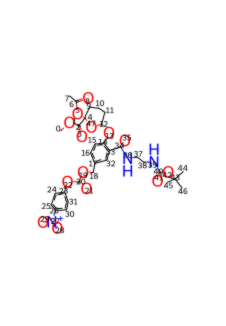 COC(=O)C1(OC(C)=O)CCCC(Oc2ccc(COC(=O)Oc3ccc([N+](=O)[O-])cc3)cc2C(=O)NCCNC(=O)OC(C)(C)C)O1